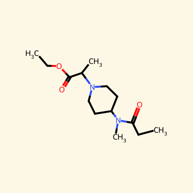 CCOC(=O)C(C)N1CCC(N(C)C(=O)CC)CC1